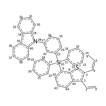 C=Cc1c(/C=C\C)sc2c([Si](c3ccccc3)(c3ccccc3)c3cccc(-n4c5ccccc5c5ccccc54)c3)cccc12